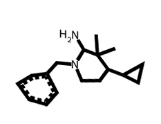 CC1(C)C(C2CC2)CCN(Cc2ccccc2)C1N